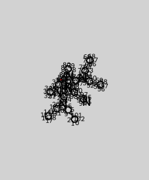 c1ccc(-c2ccc3c(c2)c2cc(-c4ccccc4)ccc2n3-c2cc3c4c(c2)-n2c5ccccc5c5cccc(c52)B4N2B4c5c(cc(-n6c7ccc(-c8ccccc8)cc7c7cc(-c8ccccc8)ccc76)cc5-n5c6ccccc6c6cccc4c65)-c4cc(-c5ccncc5)cc-3c42)cc1